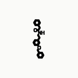 O=C(Cc1ccccc1)NCCc1cccc(OCc2ccccc2)c1